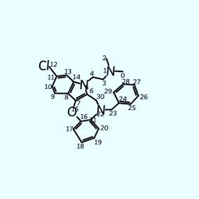 CN(C)CCn1c2c(c3ccc(Cl)cc31)Oc1ccccc1N(Cc1ccccc1)C2